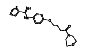 N=C(Nc1ccc(OCCCC(=O)N2CCOCC2)cc1)c1cccs1